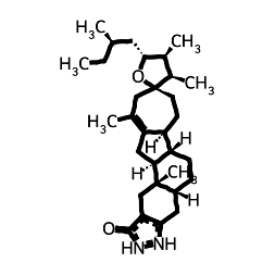 CC[C@@H](C)C[C@H]1O[C@]2(CC[C@@H]3C(=C(C)C2)C[C@H]2[C@H]3CC[C@@H]3Cc4[nH][nH]c(=O)c4C[C@@]32C)[C@H](C)[C@@H]1C